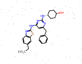 CCOC(=O)Cc1ccc2nc(Nc3cc(Cc4ccccc4)nc(N[C@H]4CC[C@H](O)CC4)n3)sc2c1